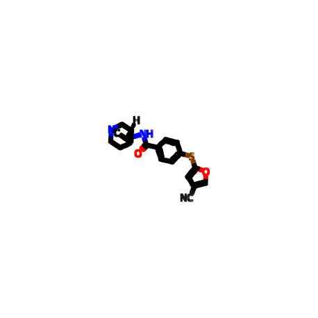 N#Cc1coc(Sc2ccc(C(=O)N[C@H]3CN4CCC3CC4)cc2)c1